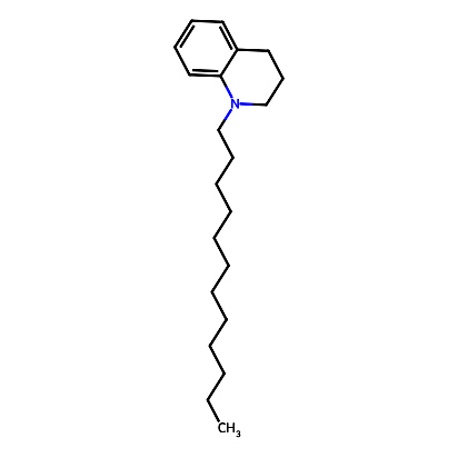 CCCCCCCCCCCCN1CCCc2ccccc21